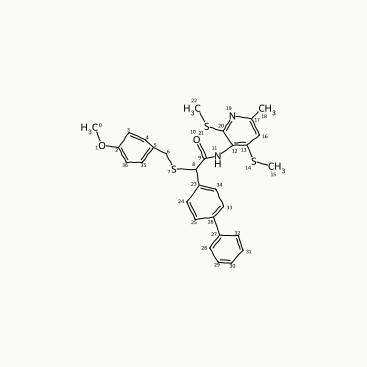 COc1ccc(CSC(C(=O)Nc2c(SC)cc(C)nc2SC)c2ccc(-c3ccccc3)cc2)cc1